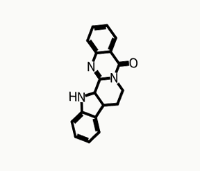 O=c1c2ccccc2nc2n1CCC1c3ccccc3NC21